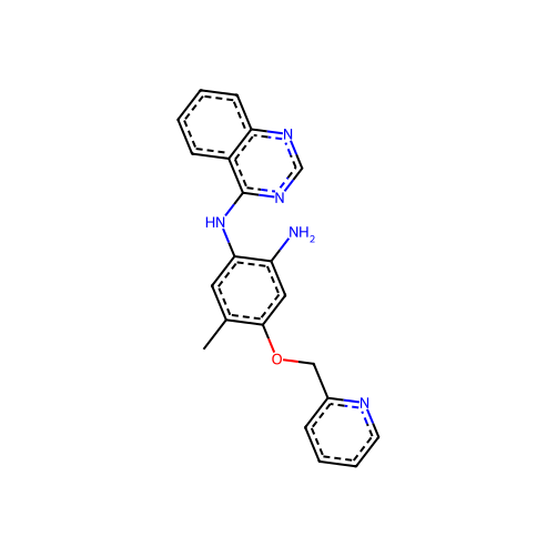 Cc1cc(Nc2ncnc3ccccc23)c(N)cc1OCc1ccccn1